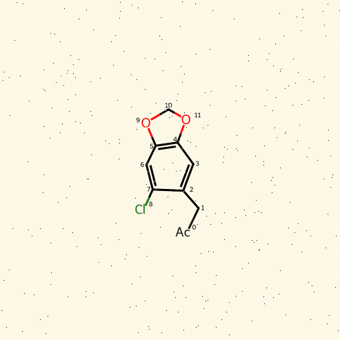 CC(=O)Cc1cc2c(cc1Cl)OCO2